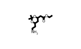 CCOC(=O)CC1CC(CCN)OC(C)(C)O1